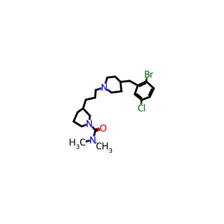 CN(C)C(=O)N1CCCC(CCCN2CCC(Cc3cc(Cl)ccc3Br)CC2)C1